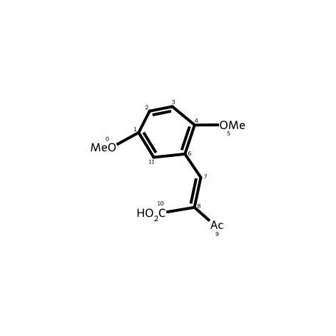 COc1ccc(OC)c(/C=C(/C(C)=O)C(=O)O)c1